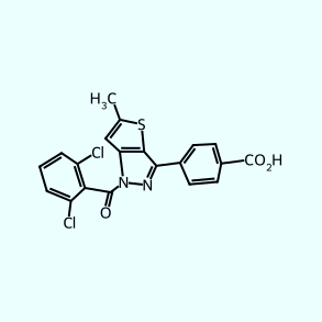 Cc1cc2c(s1)c(-c1ccc(C(=O)O)cc1)nn2C(=O)c1c(Cl)cccc1Cl